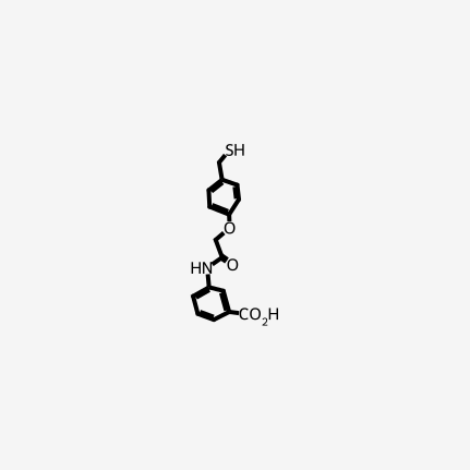 O=C(COc1ccc(CS)cc1)Nc1cccc(C(=O)O)c1